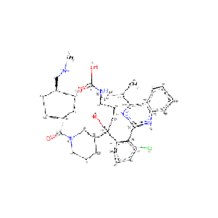 CNC[C@H]1CC[C@H](C(=O)N2CCCC(C(O)(CCCNC(=O)O)c3cccc(Cl)c3-c3nc(C(C)C)c4ccccc4n3)C2)CC1